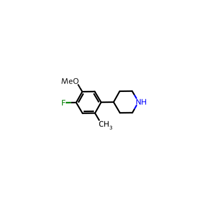 COc1cc(C2CCNCC2)c(C)cc1F